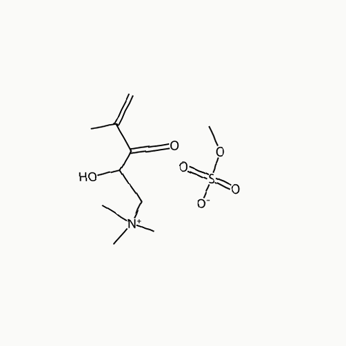 C=C(C)C(=O)C(O)C[N+](C)(C)C.COS(=O)(=O)[O-]